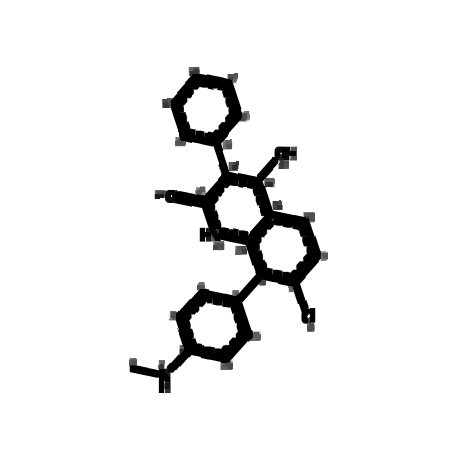 CNc1ccc(-c2c(Cl)ccc3c(O)c(-c4ccccc4)c(=O)[nH]c23)cc1